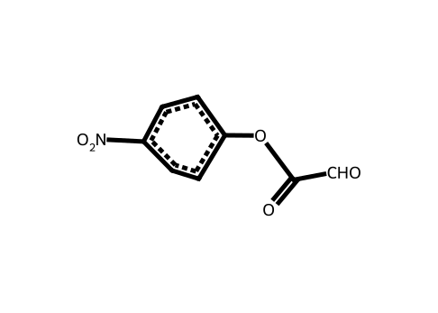 O=CC(=O)Oc1ccc([N+](=O)[O-])cc1